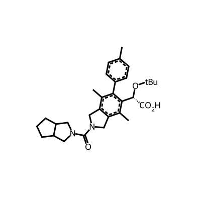 Cc1ccc(-c2c(C)c3c(c(C)c2[C@H](OC(C)(C)C)C(=O)O)CN(C(=O)N2CC4CCCC4C2)C3)cc1